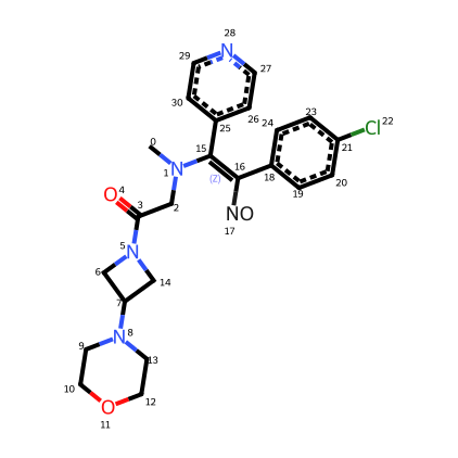 CN(CC(=O)N1CC(N2CCOCC2)C1)/C(=C(\N=O)c1ccc(Cl)cc1)c1ccncc1